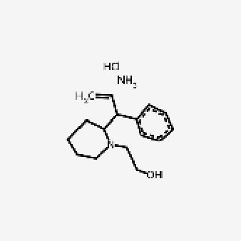 C=CC(c1ccccc1)C1CCCCN1CCO.Cl.N